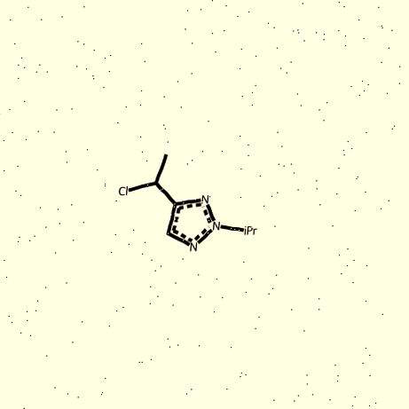 CC(Cl)c1cnn(C(C)C)n1